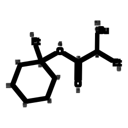 CCC(C(=O)OC1(CC)CCCCC1)C(C)(C)C